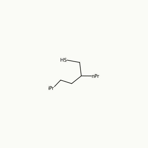 CCCC(CS)CCC(C)C